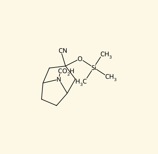 C[Si](C)(C)OC1(C#N)CC2CCC(C1)N2C(=O)O